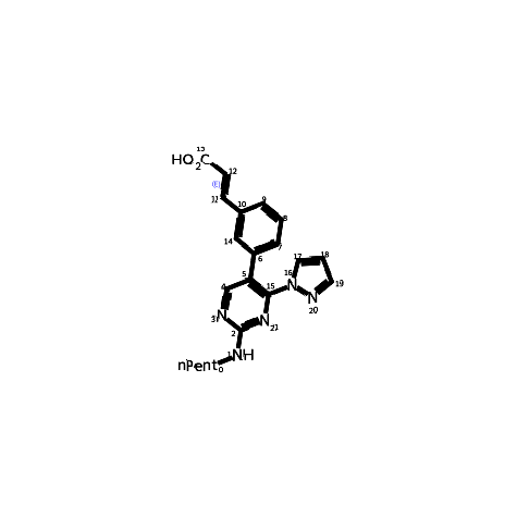 CCCCCNc1ncc(-c2cccc(/C=C/C(=O)O)c2)c(-n2cccn2)n1